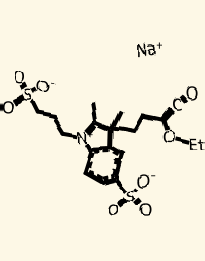 CCOC(=C=O)CCC1(C)C(C)=[N+](CCCS(=O)(=O)[O-])c2ccc(S(=O)(=O)[O-])cc21.[Na+]